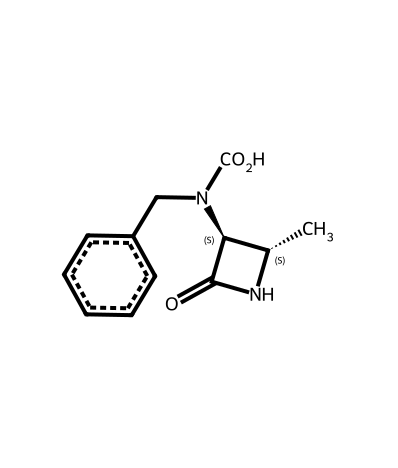 C[C@@H]1NC(=O)[C@H]1N(Cc1ccccc1)C(=O)O